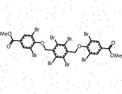 COC(=O)c1cc(Br)c(OCc2c(Br)c(Br)c(COc3c(Br)cc(C(=O)OC)cc3Br)c(Br)c2Br)c(Br)c1